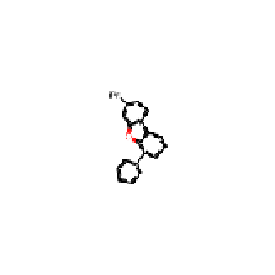 CC(C)c1ccc2c(c1)oc1c(-c3ccccc3)cccc12